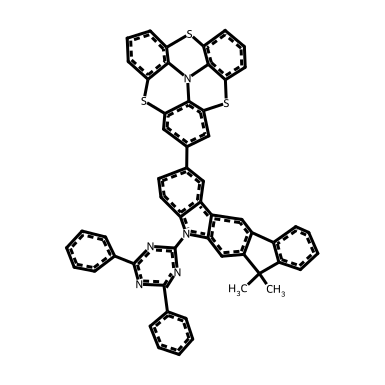 CC1(C)c2ccccc2-c2cc3c4cc(-c5cc6c7c(c5)Sc5cccc8c5N7c5c(cccc5S6)S8)ccc4n(-c4nc(-c5ccccc5)nc(-c5ccccc5)n4)c3cc21